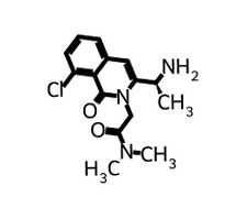 C[C@H](N)c1cc2cccc(Cl)c2c(=O)n1CC(=O)N(C)C